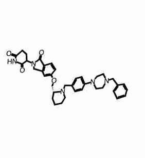 O=C1CCC(N2Cc3cc(OC[C@H]4CCCCN4Cc4ccc(N5CCN(Cc6ccccc6)CC5)cc4)ccc3C2=O)C(=O)N1